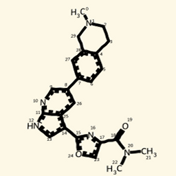 CN1CCc2ccc(-c3cnc4[nH]cc(-c5nc(C(=O)N(C)C)co5)c4c3)cc2C1